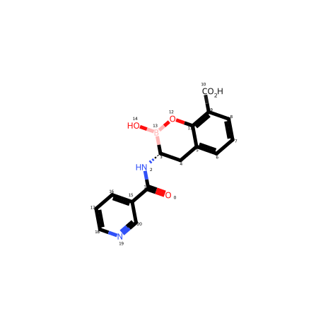 O=C(N[C@H]1Cc2cccc(C(=O)O)c2OB1O)c1cccnc1